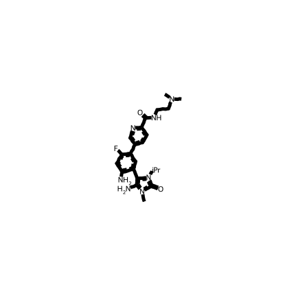 CC(C)n1c(-c2cc(-c3ccc(C(=O)NCCN(C)C)nc3)c(F)cc2N)c(N)n(C)c1=O